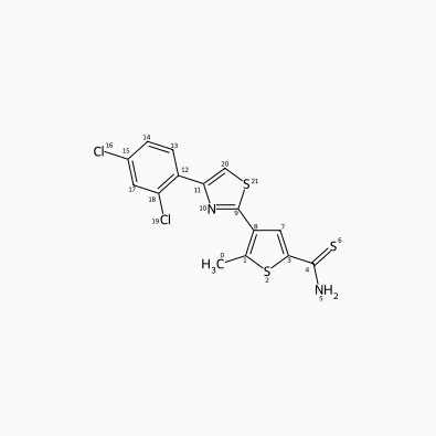 Cc1sc(C(N)=S)cc1-c1nc(-c2ccc(Cl)cc2Cl)cs1